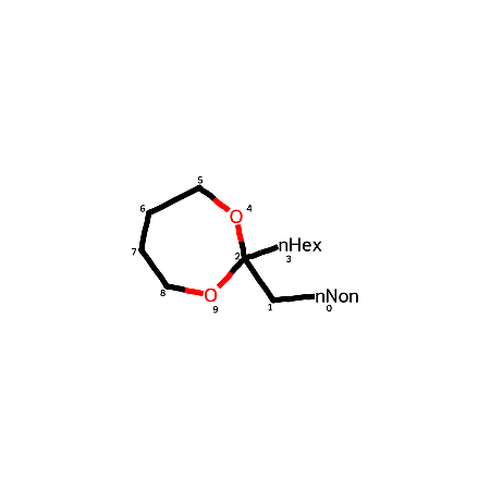 CCCCCCCCCCC1(CCCCCC)OCCCCO1